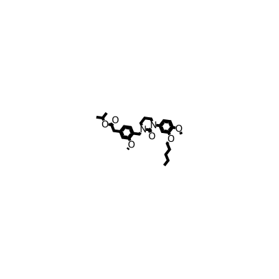 CCCCCOc1cc(N2CCCN(Cc3ccc(CC(=O)OC(C)C)cc3OC)C2=O)ccc1OC